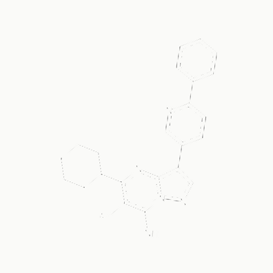 CC(=O)c1c(C2CCCCC2)nc2c(-c3ccc(-c4ccccc4)nc3)cnn2c1N